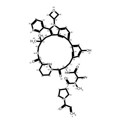 C=CC(=O)N1CC[C@H](C(=O)N(C)C(C(=O)N[C@H]2Cc3cc(O)cc(c3)-c3ccc4c(c3)c(c(-c3cccnc3)n4C3COC3)CC(C)(C)COC(=O)[C@@H]3CCCN(N3)C2=O)C(C)C)C1